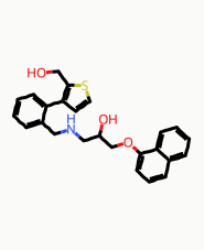 OCc1sccc1-c1ccccc1CNCC(O)COc1cccc2ccccc12